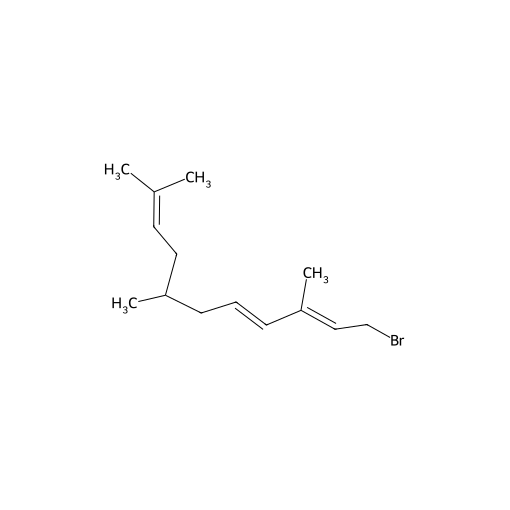 CC(C)=CCC(C)C/C=C/C(C)=C/CBr